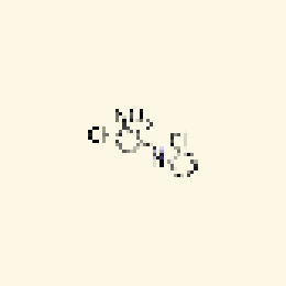 O=[N+]([O-])c1cc(/C=N/c2ccccc2Cl)ccc1Cl